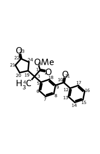 COC(=O)C(C)(c1cccc(C(=O)c2ccccc2)c1)C1CCC(=O)C1